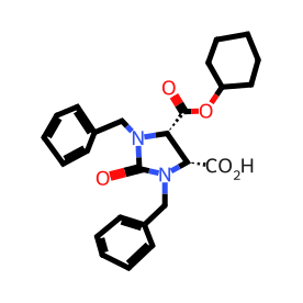 O=C(OC1CCCCC1)[C@@H]1[C@H](C(=O)O)N(Cc2ccccc2)C(=O)N1Cc1ccccc1